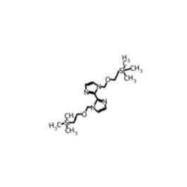 C[Si](C)(C)CCOCn1ccnc1-c1nccn1COCC[Si](C)(C)C